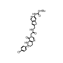 CC(C)(C)OC(=O)Nc1cc2sc(CNC(=O)Cn3cnc4c(c3=O)N[C@H](c3ccc(Cl)cc3)CC4)cc2cn1